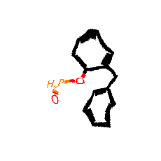 O=[PH2]Oc1ccccc1Cc1ccccc1